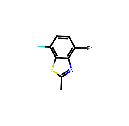 Cc1nc2c(C(C)C)ccc(F)c2s1